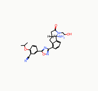 CC(C)Oc1ccc(-c2nc(-c3cccc4c3C[C@@H]3CC(=O)N(CCO)[C@]43N)no2)cc1C#N